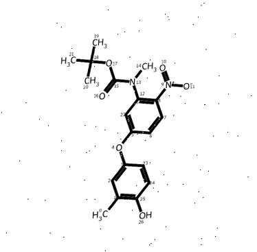 Cc1cc(Oc2ccc([N+](=O)[O-])c(N(C)C(=O)OC(C)(C)C)c2)ccc1O